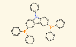 c1ccc(-n2c3ccc(P(c4ccccc4)c4ccccc4)cc3c3cc(P(c4ccccc4)c4ccccc4)ccc32)cc1